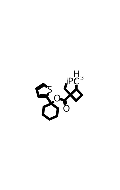 CC(C)CC1(C(=O)OC2(c3cccs3)CCCCC2)CCC1C